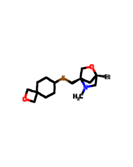 CC[C@]12CN(C)[C@](CSC3CCC4(CC3)COC4)(CO1)C2